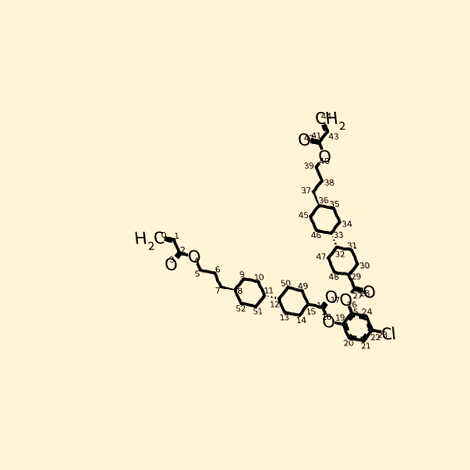 C=CC(=O)OCCC[C@H]1CC[C@H](C2CCC(C(=O)Oc3ccc(Cl)cc3OC(=O)C3CCC([C@H]4CC[C@H](CCCOC(=O)C=C)CC4)CC3)CC2)CC1